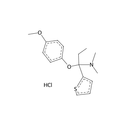 CCC(Oc1ccc(OC)cc1)(c1cccs1)N(C)C.Cl